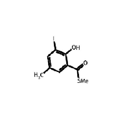 CSC(=O)c1cc(C)cc(I)c1O